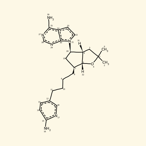 CC1(C)C[C@@H]2[C@H](O1)[C@@H](CCCCc1ccc(N)nc1)C[C@H]2n1ccc2c(N)ncnc21